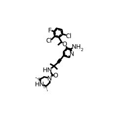 CC(Oc1cc(C#CC(C)(C)NC(=O)N2C[C@@H](C)N[C@@H](C)C2)cnc1N)c1c(Cl)ccc(F)c1Cl